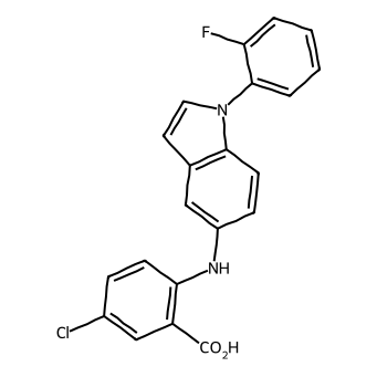 O=C(O)c1cc(Cl)ccc1Nc1ccc2c(ccn2-c2ccccc2F)c1